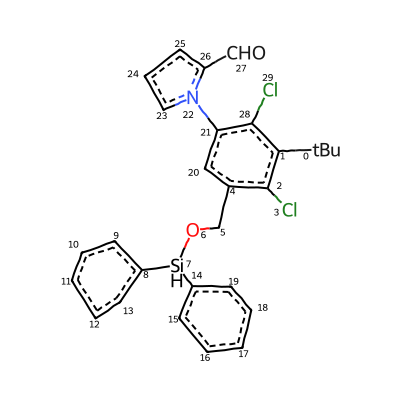 CC(C)(C)c1c(Cl)c(CO[SiH](c2ccccc2)c2ccccc2)cc(-n2cccc2C=O)c1Cl